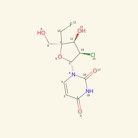 O=c1ccn([C@@H]2O[C@@](CO)(CF)[C@@H](O)[C@H]2Cl)c(=O)[nH]1